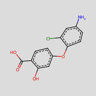 Nc1ccc(Oc2ccc(C(=O)O)c(O)c2)c(Cl)c1